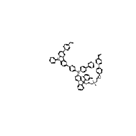 C=Cc1ccc(-c2ccc(OCCS(C)(C)CCCC3(c4cc(C)ccc4C)c4ccccc4-c4ccc(N(c5ccc(-c6ccccc6)cc5)c5ccc(-c6ccc7c(c6)c6cc(-c8ccc(C=C)cc8)ccc6n7-c6ccccc6)cc5)cc43)cc2)cc1